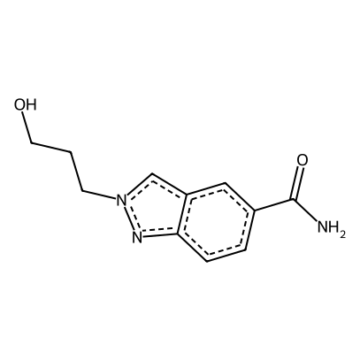 NC(=O)c1ccc2nn(CCCO)cc2c1